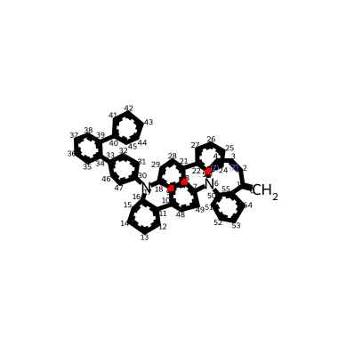 C=C1/C=C\C=C/N(c2ccc(-c3ccccc3N(c3ccc(-c4ccccc4)cc3)c3ccc(-c4ccccc4-c4ccccc4)cc3)cc2)c2ccccc21